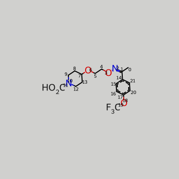 C/C(=N/OCCOC1CCN(C(=O)O)CC1)c1ccc(OC(F)(F)F)cc1